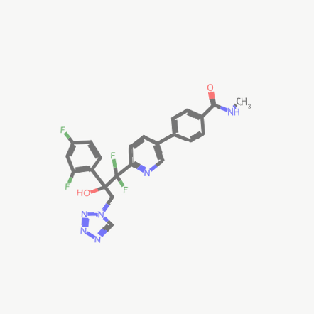 CNC(=O)c1ccc(-c2ccc(C(F)(F)C(O)(Cn3cnnn3)c3ccc(F)cc3F)nc2)cc1